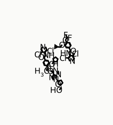 COc1ccc(C(=O)Nc2c(Cl)cncc2Cl)cc1OC1CCCC1.O=C(Nc1c(Cl)cncc1Cl)c1ccc(OC(F)F)c(OCC2CC2)c1.O=c1[nH]cnc2c1ncn2[C@H]1CC[C@@H](CO)O1